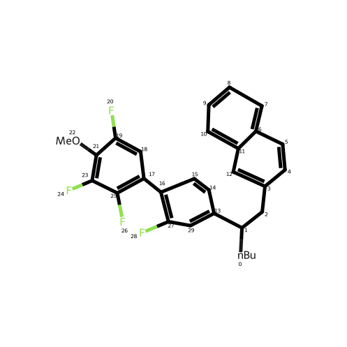 CCCCC(Cc1ccc2ccccc2c1)c1ccc(-c2cc(F)c(OC)c(F)c2F)c(F)c1